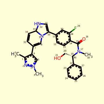 Cc1nn(C)cc1C1=CN2C(c3ccc(C(=O)N(C)[C@@H](CO)c4ccccc4)c(F)c3)=CNC2C=C1